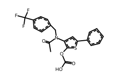 CC(=O)N(Cc1ccc(C(F)(F)F)cc1)c1cc(-c2ccccc2)sc1OC(=O)O